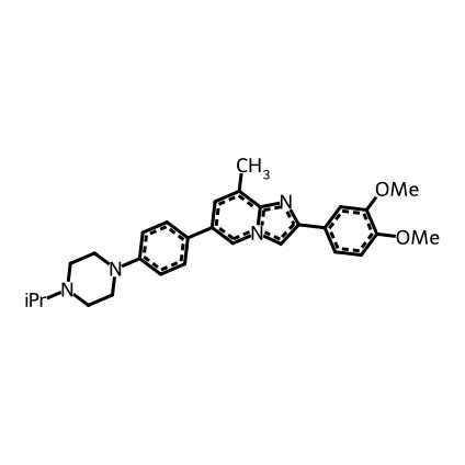 COc1ccc(-c2cn3cc(-c4ccc(N5CCN(C(C)C)CC5)cc4)cc(C)c3n2)cc1OC